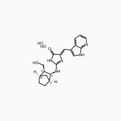 Cl.Cl.O=C1NC(N[C@H]2[C@H]3CC[C@H](C3)[C@H]2CO)=NC1=Cc1c[nH]c2ncccc12